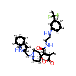 CC1=C(C(=O)NCCNc2cccc(C(C)(F)F)c2)C2(CCN(Cc3cc4ccccc4[nH]3)CC2)OC1=O